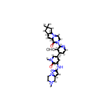 CN1CCn2nc(Nc3cc(-c4ccnc(-n5ccn6c7c(cc6c5=O)CC(C)(C)C7)c4C=O)cn(C)c3=O)cc2C1